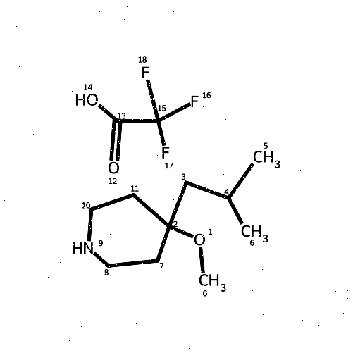 COC1(CC(C)C)CCNCC1.O=C(O)C(F)(F)F